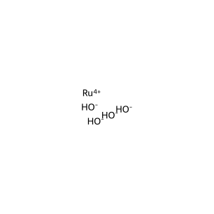 [OH-].[OH-].[OH-].[OH-].[Ru+4]